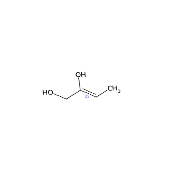 C/C=C(\O)CO